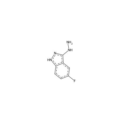 NNc1n[nH]c2ccc(F)cc12